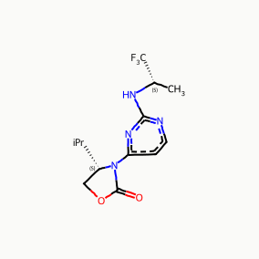 CC(C)[C@H]1COC(=O)N1c1ccnc(N[C@@H](C)C(F)(F)F)n1